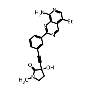 CCc1cnc(N)c2nc(-c3cccc(C#C[C@]4(O)CCN(C)C4=O)c3)ncc12